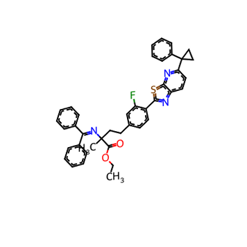 CCOC(=O)C(C)(CCc1ccc(-c2nc3ccc(C4(c5ccccc5)CC4)nc3s2)c(F)c1)N=C(c1ccccc1)c1ccccc1